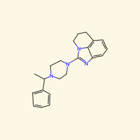 CC(c1ccccc1)N1CCN(c2nc3cccc4c3n2CCC4)CC1